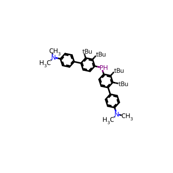 CN(C)c1ccc(-c2ccc(Pc3ccc(-c4ccc(N(C)C)cc4)c(C(C)(C)C)c3C(C)(C)C)c(C(C)(C)C)c2C(C)(C)C)cc1